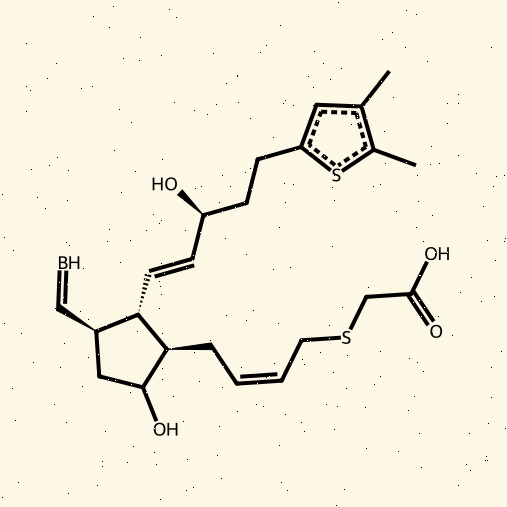 B=C[C@@H]1CC(O)[C@H](C/C=C\CSCC(=O)O)[C@H]1/C=C/[C@@H](O)CCc1cc(C)c(C)s1